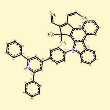 C=CC1=C(/C=C\C)c2c(c3c(c4ccccc24)c2ccccc2n3-c2ccc(-c3cc(-c4ccccc4)nc(-c4ccccc4)c3)cc2)C1(C)C